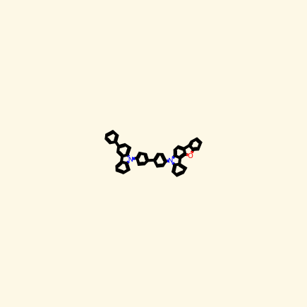 c1ccc(-c2ccc3c(c2)c2ccccc2n3-c2ccc(-c3ccc(-n4c5ccccc5c5c6oc7ccccc7c6ccc54)cc3)cc2)cc1